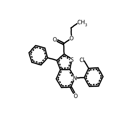 CCOC(=O)c1sc2c(ccc(=O)n2-c2ccccc2Cl)c1-c1ccccc1